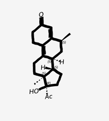 CC(=O)[C@@]1(O)CC[C@H]2[C@@H]3C[C@H](C)C4=CC(=O)CCC4=C3CC[C@@]21C